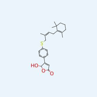 CC(=CCC1=C(C)CCCC1(C)C)CSc1ccc(C2=CC(=O)OC2O)cc1